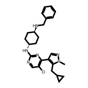 Cn1ncc(-c2nc(N[C@H]3CC[C@H](NCc4ccccc4)CC3)ncc2Cl)c1CC1CC1